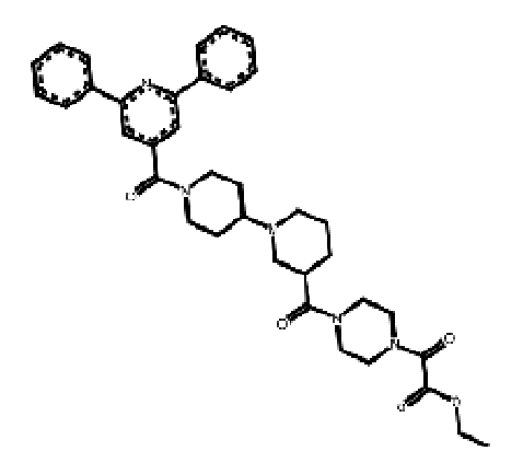 CCOC(=O)C(=O)N1CCN(C(=O)[C@@H]2CCCN(C3CCN(C(=O)c4cc(-c5ccccc5)nc(-c5ccccc5)c4)CC3)C2)CC1